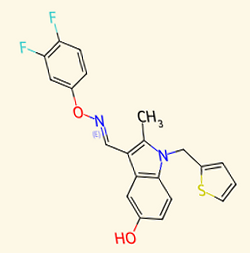 Cc1c(/C=N/Oc2ccc(F)c(F)c2)c2cc(O)ccc2n1Cc1cccs1